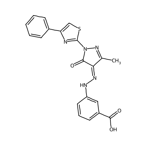 CC1=NN(c2nc(-c3ccccc3)cs2)C(=O)/C1=N\Nc1cccc(C(=O)O)c1